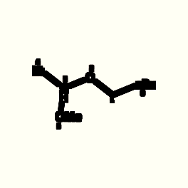 CCCCCO[SiH](CC)OC